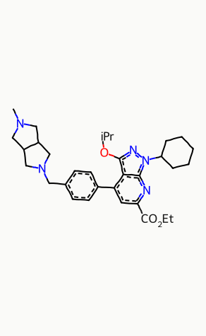 CCOC(=O)c1cc(-c2ccc(CN3CC4CN(C)CC4C3)cc2)c2c(OC(C)C)nn(C3CCCCC3)c2n1